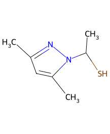 Cc1cc(C)n(C(C)S)n1